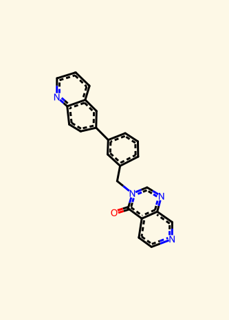 O=c1c2ccncc2ncn1Cc1cccc(-c2ccc3ncccc3c2)c1